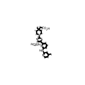 Cc1ccnc(Nc2cccc(-c3cnc(N4CCC(C)(CC(=O)O)CC4)s3)n2)c1.Cl.Cl